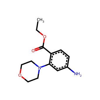 CCOC(=O)c1ccc(N)cc1N1CCOCC1